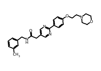 Cc1cccc(CNC(=O)Cc2cnc(-c3ccc(OCCN4CCOCC4)cc3)nc2)c1